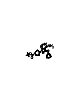 CC(C)(C)OC(=O)N1CCC(n2nc(Oc3ccccc3)c3c(N)ncnc32)CC1